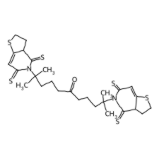 CC(C)(CCCC(=O)CCCC(C)(C)N1C(=S)C=C2SCCC2C1=S)N1C(=S)C=C2SCCC2C1=S